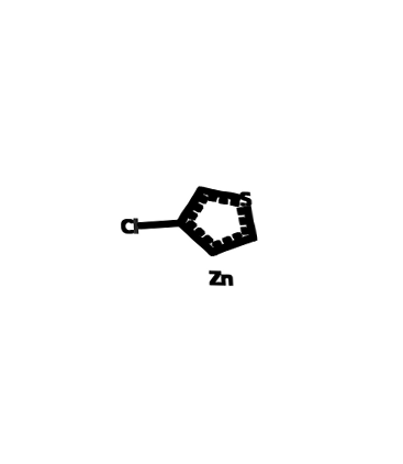 Clc1ccsc1.[Zn]